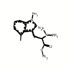 Cc1cccc2c1c(CC(C(=O)OP)N(P)P)cn2P